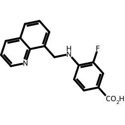 O=C(O)c1ccc(NCc2cccc3cccnc23)c(F)c1